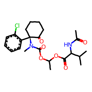 CC(=O)NC(C(=O)OC(C)OC(=O)N(C)[C@@]1(c2ccccc2Cl)CCCCC1=O)C(C)C